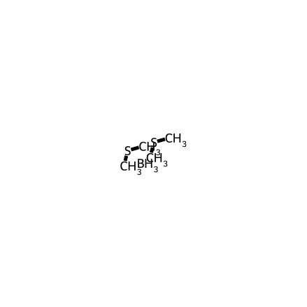 B.CSC.CSC